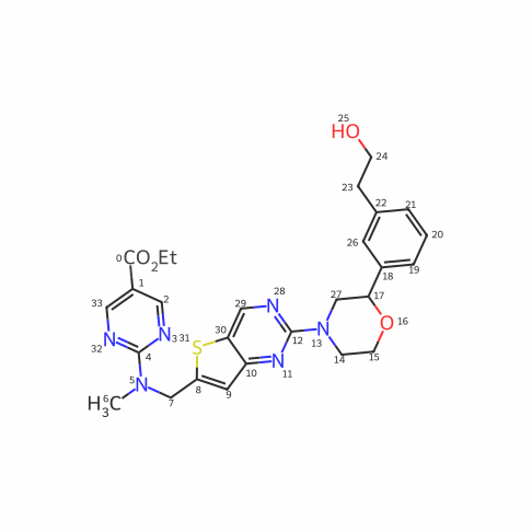 CCOC(=O)c1cnc(N(C)Cc2cc3nc(N4CCOC(c5cccc(CCO)c5)C4)ncc3s2)nc1